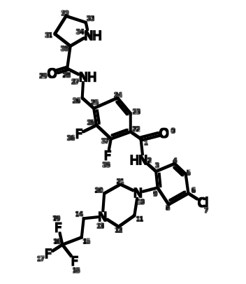 O=C(Nc1ccc(Cl)cc1N1CCN(CCC(F)(F)F)CC1)c1ccc(CNC(=O)C2CCCN2)c(F)c1F